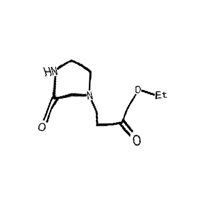 CCOC(=O)CN1CCNC1=O